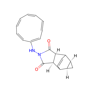 O=C1[C@@H]2C3C=CC([C@H]4C[C@@H]34)[C@@H]2C(=O)N1Nc1ccccccccc1